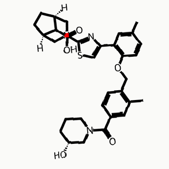 Cc1ccc(OCc2ccc(C(=O)N3CCC[C@@H](O)C3)cc2C)c(-c2csc(N3C[C@H]4CC[C@@H](C3)C4C(=O)O)n2)c1